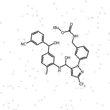 CC(C)(C)OC(=O)NCc1cccc(-n2nc(C(F)(F)F)cc2C(O)Nc2cc(C(O)c3cccc(C#N)c3)ccc2F)c1